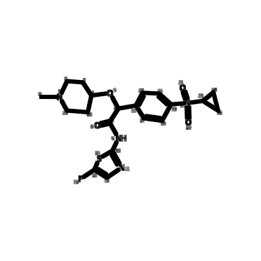 CN1CCC(OC(C(=O)Nc2ncc(F)s2)c2ccc(S(=O)(=O)C3CC3)cc2)CC1